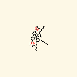 CCCCCCc1cc(C)cc(C2(c3cc(CCCCCC)cc(CCCCCC)c3)c3cc(B4OC(C)(C)C(C)(C)O4)ccc3-c3ccc(B4OC(C)(C)C(C)(C)O4)cc32)c1